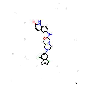 COc1c(F)cc(N2CCN(CC(=O)Nc3ccc4[nH]c(=O)ccc4c3)[C@H](C)C2)cc1F